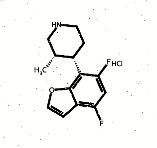 C[C@@H]1CNCC[C@@H]1c1c(F)cc(F)c2ccoc12.Cl